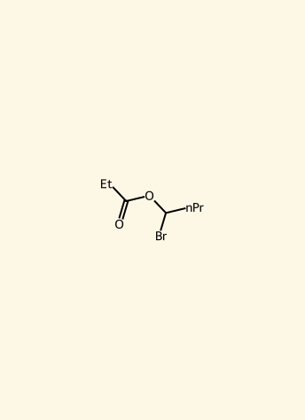 CCCC(Br)OC(=O)CC